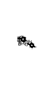 Cc1ccc(C(=O)Nc2ccc3c(c2)B(O)OC3(C)C)cc1